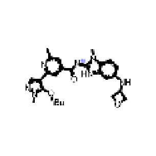 CCCCOc1c(-c2cc(C(=O)/N=c3\[nH]c4cc(NC5COC5)ccc4n3C)cc(C)n2)cnn1C